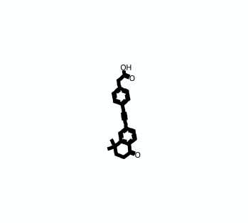 CC1(C)CCC(=O)c2ccc(C#Cc3ccc(CC(=O)O)cc3)cc21